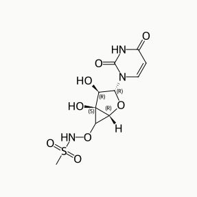 CS(=O)(=O)NOC1[C@H]2O[C@@H](n3ccc(=O)[nH]c3=O)[C@H](O)[C@@]12O